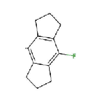 Fc1c2c([c]c3c1CCC3)CCC2